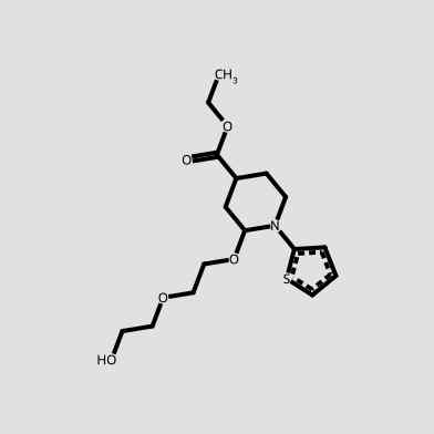 CCOC(=O)C1CCN(c2cccs2)C(OCCOCCO)C1